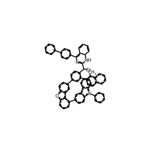 CCC(C1=NC(c2ccc(-c3ccccc3)cc2)=C2C=CC=CC2N1)c1ccc(-c2ccc3oc4cccc(-c5ccc6c(c5)c5ccccc5n6-c5ccccc5)c4c3c2)cc1-c1ccc2ccccc2c1C